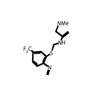 C=Nc1ccc(C(F)(F)F)cc1SCNC(=C)CNC